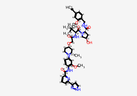 C#Cc1ccc(CNC(=O)[C@@H]2C[C@@H](O)CN2C(=O)[C@@H](NC(=O)CO[C@H]2CCN(c3ccc(NC(=O)c4cccc(-c5cc[nH]n5)n4)c(OC)c3)[C@@H](C)C2)C(C)(C)C)c(OC)c1